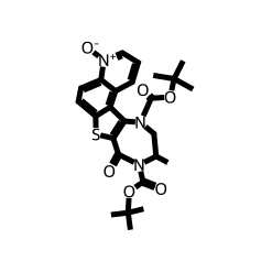 CC1CN(C(=O)OC(C)(C)C)c2c(sc3ccc4c(ccc[n+]4[O-])c23)C(=O)N1C(=O)OC(C)(C)C